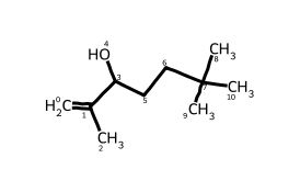 C=C(C)C(O)CCC(C)(C)C